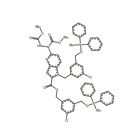 CC(C)(C)OC(=O)NN(C(=O)OC(C)(C)C)c1ccc2c(cc(C(=O)OCc3cc(Cl)cc(CO[Si](c4ccccc4)(c4ccccc4)C(C)(C)C)c3)n2Cc2cc(Cl)cc(CO[Si](c3ccccc3)(c3ccccc3)C(C)(C)C)c2)n1